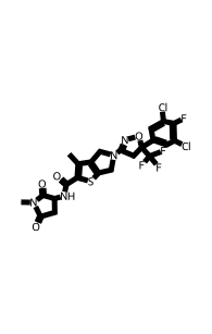 Cc1c(C(=O)NC2CC(=O)N(C)C2=O)sc2c1CN(C1=NOC(c3cc(Cl)c(F)c(Cl)c3)(C(F)(F)F)C1)C2